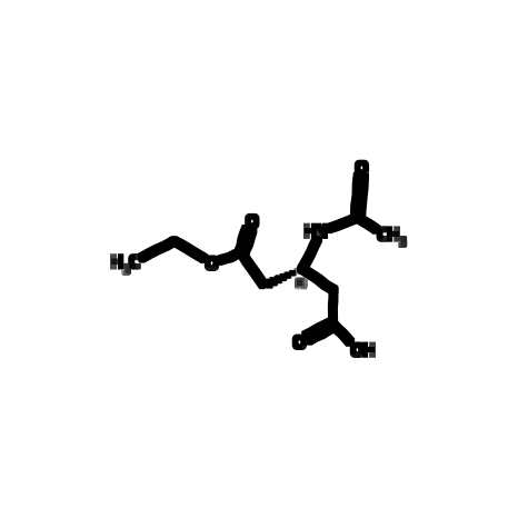 CCOC(=O)C[C@@H](CC(=O)O)NC(C)=O